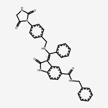 O=C1Nc2ccc(C(=O)NCc3ccccc3)cc2/C1=C(/NCc1ccc(N2C(=O)CNC2=O)cc1)c1ccccc1